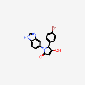 O=C1[C]=C(O)C(c2ccc(Br)cc2)N1c1ccc2[nH]cnc2c1